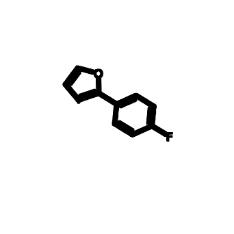 Fc1ccc(-c2[c]cco2)cc1